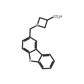 O=C(O)C1CN(Cc2ccc3oc4ccccc4c3c2)C1